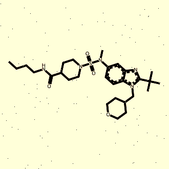 CCCCNC(=O)C1CCN(S(=O)(=O)N(C)c2ccc3c(c2)nc(C(C)(C)C)n3CC2CCOCC2)CC1